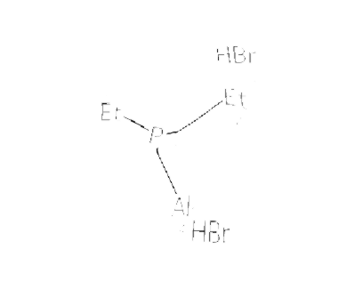 Br.Br.CC[P]([Al])CC